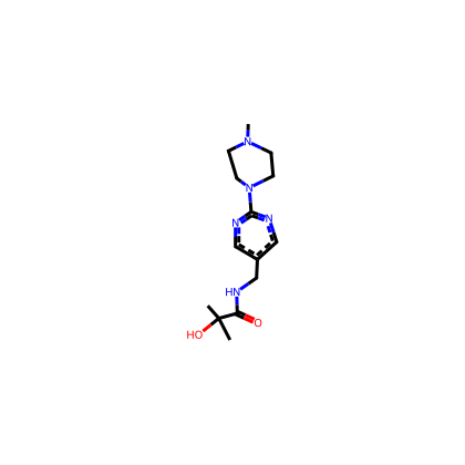 CN1CCN(c2ncc(CNC(=O)C(C)(C)O)cn2)CC1